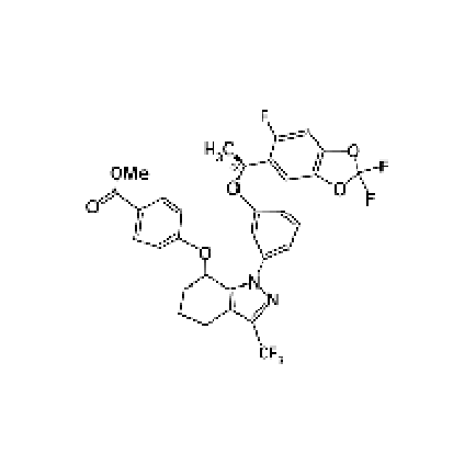 COC(=O)c1ccc(OC2CCCc3c(C(F)(F)F)nn(-c4cccc(O[C@@H](C)c5cc6c(cc5F)OC(F)(F)O6)c4)c32)cc1